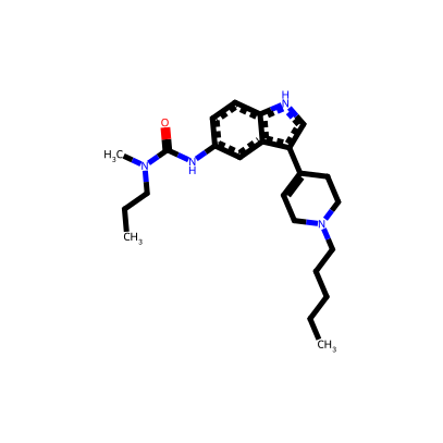 CCCCCN1CC=C(c2c[nH]c3ccc(NC(=O)N(C)CCC)cc23)CC1